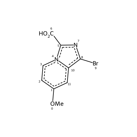 COc1ccn2c(C(=O)O)nc(Br)c2c1